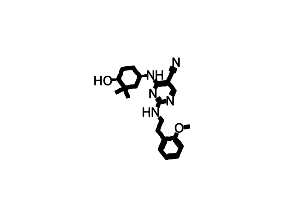 COc1ccccc1CCNc1ncc(C#N)c(N[C@@H]2CC[C@H](O)C(C)(C)C2)n1